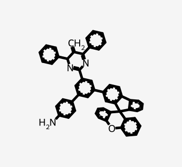 C=C1C(c2ccccc2)=NC(c2cc(-c3ccc(N)cc3)cc(-c3ccc4c(c3)C3(c5ccccc5Oc5ccccc53)c3ccccc3-4)c2)=NC1c1ccccc1